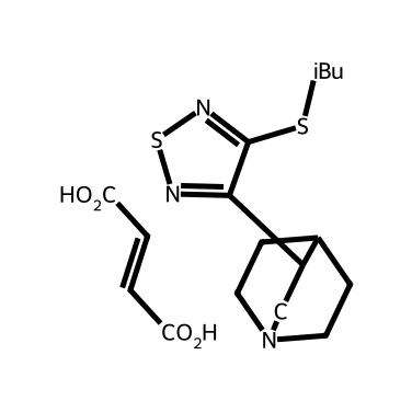 CCC(C)Sc1nsnc1C1CN2CCC1CC2.O=C(O)C=CC(=O)O